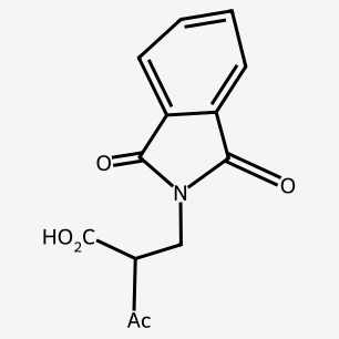 CC(=O)C(CN1C(=O)c2ccccc2C1=O)C(=O)O